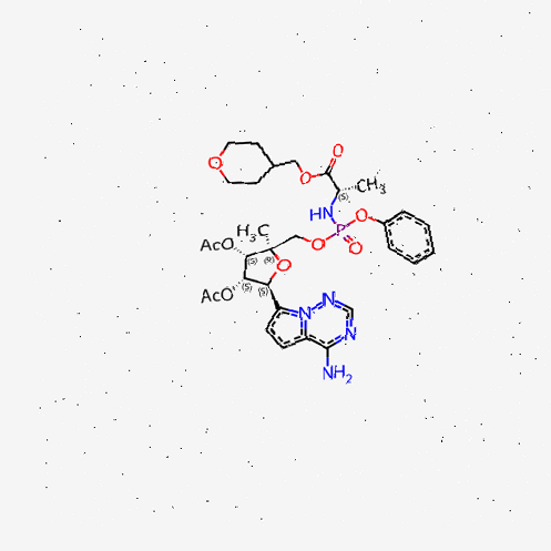 CC(=O)O[C@H]1[C@H](c2ccc3c(N)ncnn23)O[C@](C)(COP(=O)(N[C@@H](C)C(=O)OCC2CCOCC2)Oc2ccccc2)[C@H]1OC(C)=O